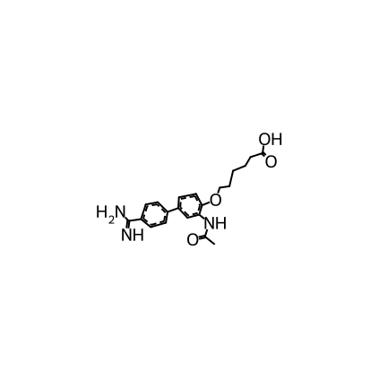 CC(=O)Nc1cc(-c2ccc(C(=N)N)cc2)ccc1OCCCCCC(=O)O